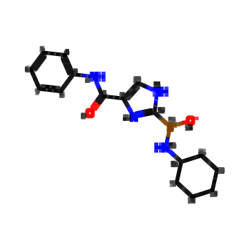 O=C(Nc1ccccc1)c1c[nH]c([S+]([O-])NC2CCCCC2)n1